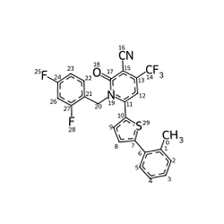 Cc1ccccc1-c1ccc(-c2cc(C(F)(F)F)c(C#N)c(=O)n2Cc2ccc(F)cc2F)s1